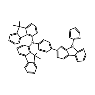 CC1(C)c2ccccc2-c2c(N(c3ccc(-c4ccc5c6ccccc6n(-c6ccccc6)c5c4)cc3)c3cccc4c3C(C)(C)c3ccccc3-4)cccc21